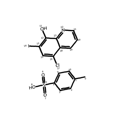 Cc1ccc(S(=O)(=O)O)cc1.Oc1c(I)cc(Cl)c2cccnc12